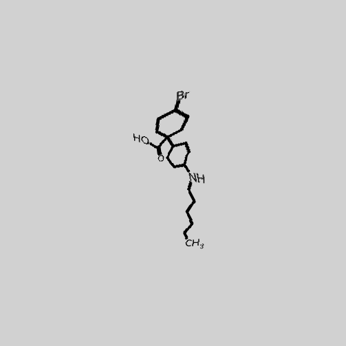 CCCCCCNC1CCC(C2(C(=O)O)CCC(Br)CC2)CC1